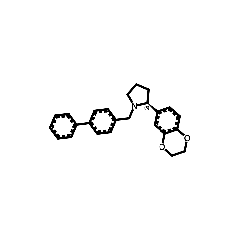 c1ccc(-c2ccc(CN3CCC[C@H]3c3ccc4c(c3)OCCO4)cc2)cc1